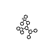 c1ccc(-c2cc(-c3ccccc3)nc(-c3cc(-c4cccc(-c5c(-c6ccccc6)nc6ccccn56)c4)cc(-c4cc5ccccc5c5ccccc45)c3)c2)cc1